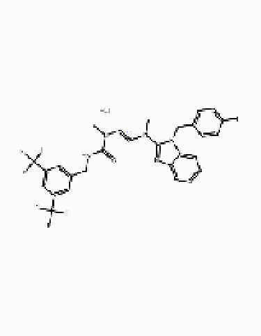 CN(/C=C/N(C)c1nc2ccccc2n1Cc1ccc(F)cc1)C(=O)NCc1cc(C(F)(F)F)cc(C(F)(F)F)c1.Cl